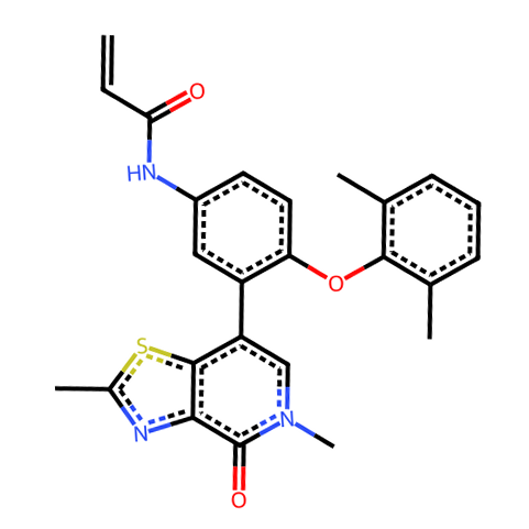 C=CC(=O)Nc1ccc(Oc2c(C)cccc2C)c(-c2cn(C)c(=O)c3nc(C)sc23)c1